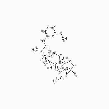 COC1C[C@H]2[C@@H]3CC[C@H](C(C)COc4cc(CO)ccn4)[C@@]3(C)CC[C@@H]2[C@@]2(C)CC[C@@H]3C[C@]132